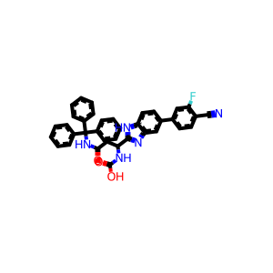 N#Cc1ccc(-c2ccc3[nH]c(C(CC(=O)NC(c4ccccc4)(c4ccccc4)c4ccccc4)NC(=O)O)nc3c2)cc1F